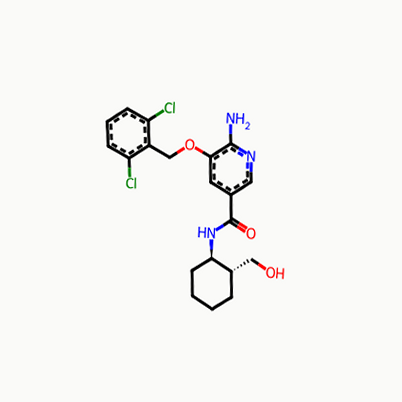 Nc1ncc(C(=O)N[C@@H]2CCCC[C@H]2CO)cc1OCc1c(Cl)cccc1Cl